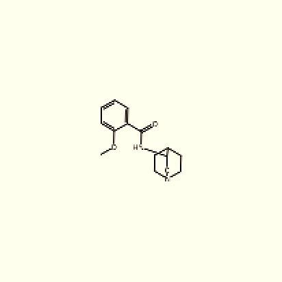 COc1ccccc1C(=O)NC1CN2CCC1CC2